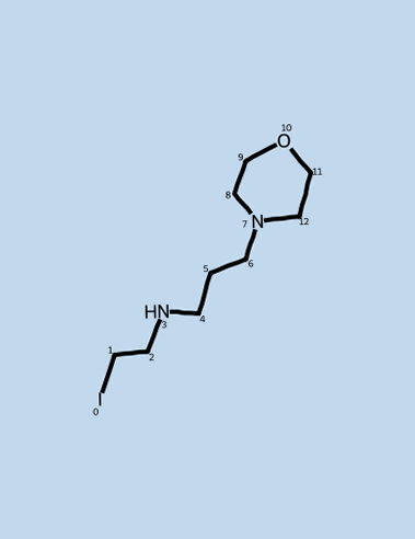 ICCNCCCN1CCOCC1